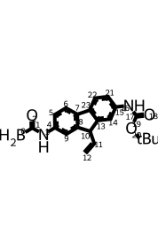 BC(=O)Nc1ccc2c(c1)C(C=C)c1cc(NC(=O)OC(C)(C)C)ccc1-2